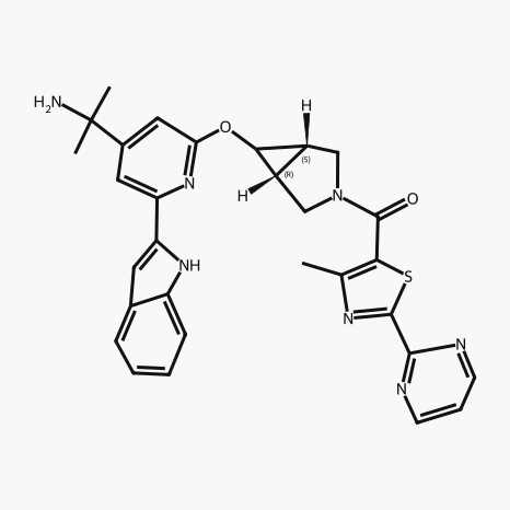 Cc1nc(-c2ncccn2)sc1C(=O)N1C[C@@H]2C(Oc3cc(C(C)(C)N)cc(-c4cc5ccccc5[nH]4)n3)[C@@H]2C1